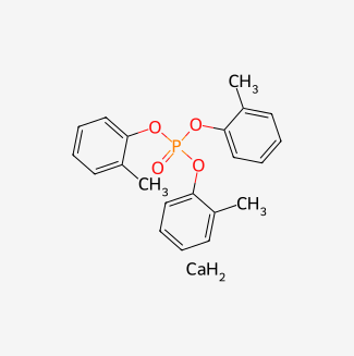 Cc1ccccc1OP(=O)(Oc1ccccc1C)Oc1ccccc1C.[CaH2]